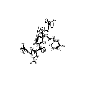 COC(=O)CNc1nc2ccc(C(=O)N(CCC(C)C)CCC(C)C)cc2n1CCCN1CCCCC1